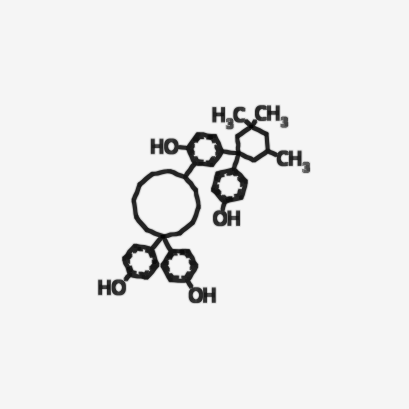 CC1CC(C)(C)CC(c2ccc(O)cc2)(c2ccc(O)c(C3CCCCCCC(c4ccc(O)cc4)(c4ccc(O)cc4)CCCC3)c2)C1